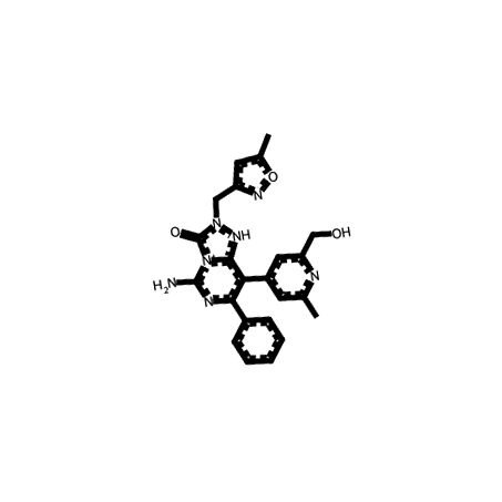 Cc1cc(-c2c(-c3ccccc3)nc(N)[n+]3c(=O)n(Cc4cc(C)on4)[nH]c23)cc(CO)n1